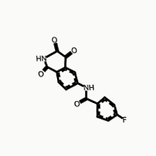 O=C1NC(=O)c2ccc(NC(=O)c3ccc(F)cc3)cc2C1=O